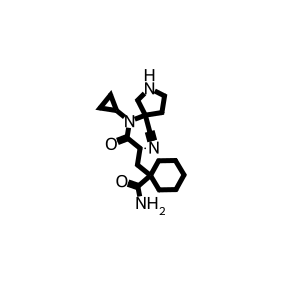 N#CC1(N(C(=O)[CH]CC2(C(N)=O)CCCCC2)C2CC2)CCNC1